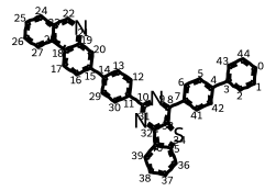 c1ccc(-c2ccc(-c3nc(-c4ccc(-c5ccc6c(c5)ncc5ccccc56)cc4)nc4c3sc3ccccc34)cc2)cc1